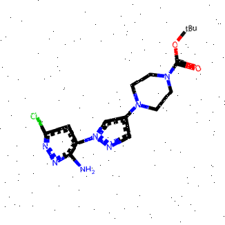 CC(C)(C)OC(=O)N1CCN(c2cnn(-c3cc(Cl)nnc3N)c2)CC1